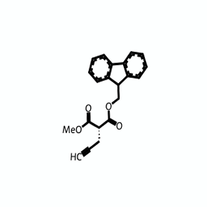 C#CC[C@H](C(=O)OC)C(=O)OCC1c2ccccc2-c2ccccc21